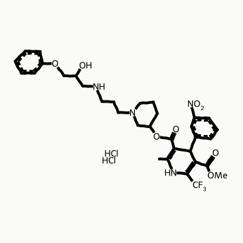 COC(=O)C1=C(C(F)(F)F)NC(C)=C(C(=O)OC2CCCN(CCCNCC(O)COc3ccccc3)C2)C1c1cccc([N+](=O)[O-])c1.Cl.Cl